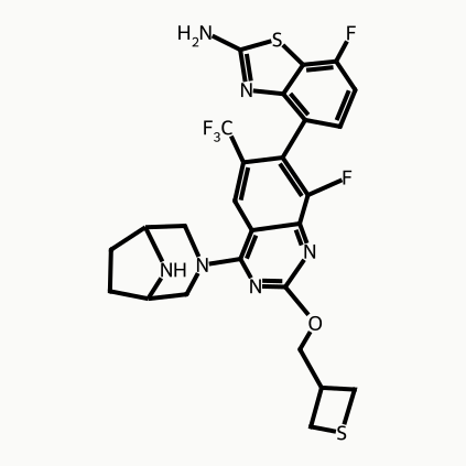 Nc1nc2c(-c3c(C(F)(F)F)cc4c(N5CC6CCC(C5)N6)nc(OCC5CSC5)nc4c3F)ccc(F)c2s1